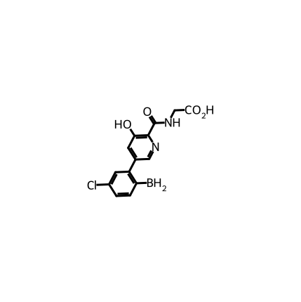 Bc1ccc(Cl)cc1-c1cnc(C(=O)NCC(=O)O)c(O)c1